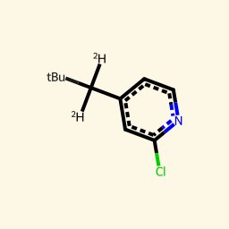 [2H]C([2H])(c1ccnc(Cl)c1)C(C)(C)C